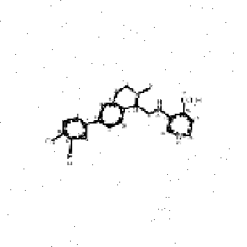 CN1CCc2cc(-c3ccc(Cl)c(F)c3)ccc2C1CNc1cnccc1C(=O)O